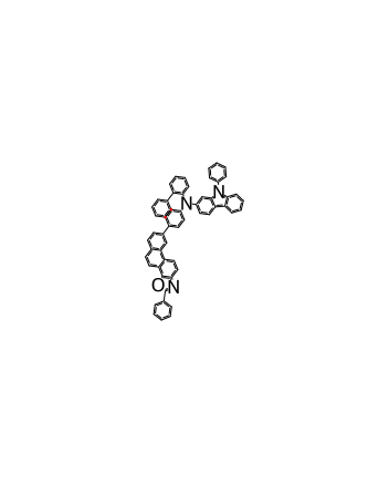 c1ccc(-c2nc3ccc4c5cc(-c6ccc(N(c7ccc8c9ccccc9n(-c9ccccc9)c8c7)c7ccccc7-c7ccccc7)cc6)ccc5ccc4c3o2)cc1